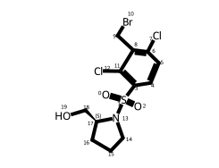 O=S(=O)(c1ccc(Cl)c(CBr)c1Cl)N1CCC[C@H]1CO